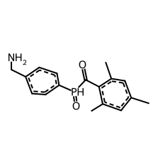 Cc1cc(C)c(C(=O)[PH](=O)c2ccc(CN)cc2)c(C)c1